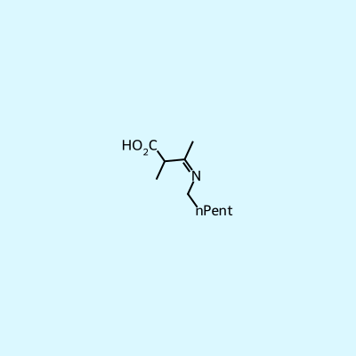 CCCCCCN=C(C)C(C)C(=O)O